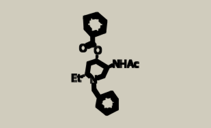 CC[C@@H]1C[C@H](OC(=O)c2ccccc2)[C@@H](NC(C)=O)CN1Cc1ccccc1